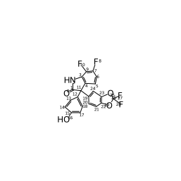 O=C1Nc2c(ccc(F)c2F)C1(c1ccc(O)cc1)c1ccc2c(c1)OC(F)(F)O2